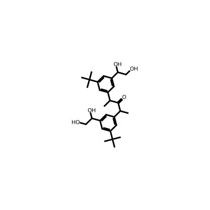 CC(C(=O)C(C)c1cc(C(O)CO)cc(C(C)(C)C)c1)c1cc(C(O)CO)cc(C(C)(C)C)c1